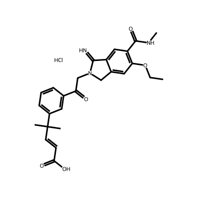 CCOc1cc2c(cc1C(=O)NC)C(=N)N(CC(=O)c1cccc(C(C)(C)C=CC(=O)O)c1)C2.Cl